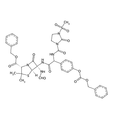 CC1(C)S[C@H]2N(C(=O)[C@@]2(NC=O)NC(=O)C(NC(=O)N2CCN(S(C)(=O)=O)C2=O)c2ccc(OC(=O)OCc3ccccc3)cc2)[C@H]1C(=O)OCc1ccccc1